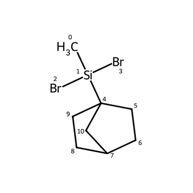 C[Si](Br)(Br)C12CCC(CC1)C2